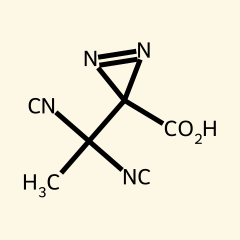 [C-]#[N+]C(C)([N+]#[C-])C1(C(=O)O)N=N1